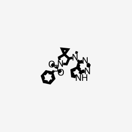 CN(c1ncnc2[nH]ccc12)C1CN(S(=O)(=O)c2ccccc2)CC12CC2